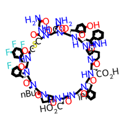 CCCC[C@H]1C(=O)N2CCC[C@@H]2C(=O)N[C@@H](CC(=O)O)C(=O)N[C@@H](C(C)C)C(=O)N(C)[C@@H](Cc2ccccc2)C(=O)N[C@@H](CC(=O)O)C(=O)N2CCCC[C@@H]2C(=O)N[C@@H](Cc2c[nH]c3ccccc23)C(=O)N[C@@H](Cc2ccc(O)cc2)C(=O)N[C@@H](CC(N)=O)C(=O)N[C@H](C(=O)NCC(N)=O)CSCC(=O)N[C@@H](Cc2cc(F)c(F)c(F)c2)C(=O)N(C)[C@@H](Cc2ccc(F)cc2)C(=O)N1C